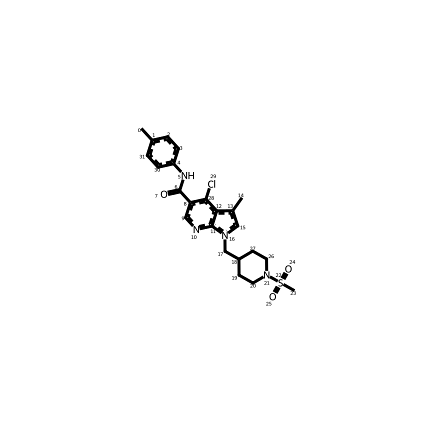 Cc1ccc(NC(=O)c2cnc3c(c(C)cn3CC3CCN(S(C)(=O)=O)CC3)c2Cl)cc1